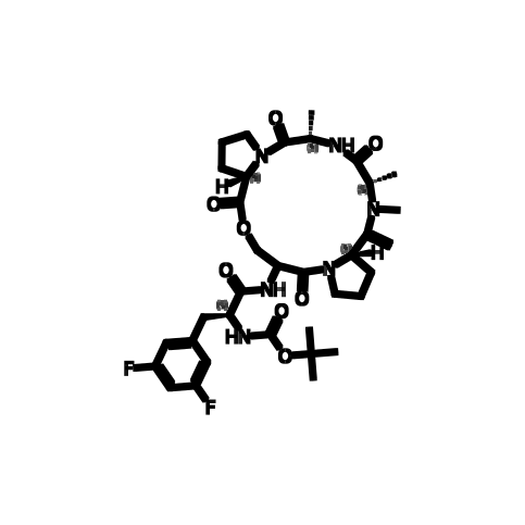 C=C1[C@@H]2CCCN2C(=O)C(NC(=O)[C@H](Cc2cc(F)cc(F)c2)NC(=O)OC(C)(C)C)COC(=O)[C@@H]2CCCN2C(=O)[C@H](C)NC(=O)[C@H](C)N1C